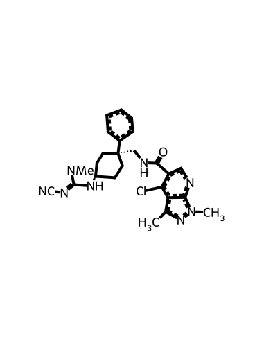 CN/C(=N\C#N)N[C@H]1CC[C@](CNC(=O)c2cnc3c(c(C)nn3C)c2Cl)(c2ccccc2)CC1